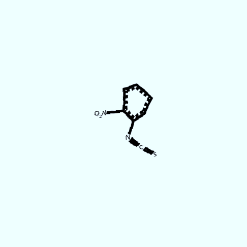 O=[N+]([O-])c1ccccc1N=C=S